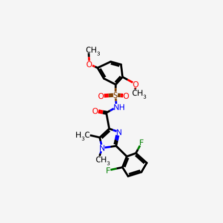 COc1ccc(OC)c(S(=O)(=O)NC(=O)c2nc(-c3c(F)cccc3F)n(C)c2C)c1